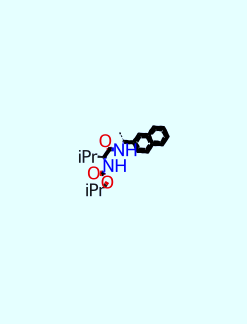 CC(C)OC(=O)N[C@H](C(=O)N[C@H](C)c1ccc2ccccc2c1)C(C)C